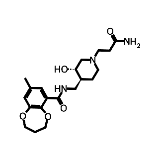 Cc1cc2c(c(C(=O)NC[C@@H]3CCN(CCC(N)=O)C[C@H]3O)c1)OCCCO2